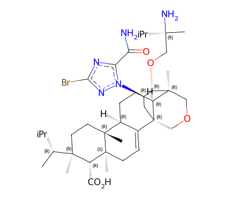 CC(C)[C@@H](C)[C@@]1(C)CC[C@]2(C)[C@H]3CC[C@@H]4[C@@]5(COC[C@]4(C)[C@@H](OC[C@](C)(N)C(C)C)[C@H](n4nc(Br)nc4C(N)=O)C5)C3=CC[C@@]2(C)[C@@H]1C(=O)O